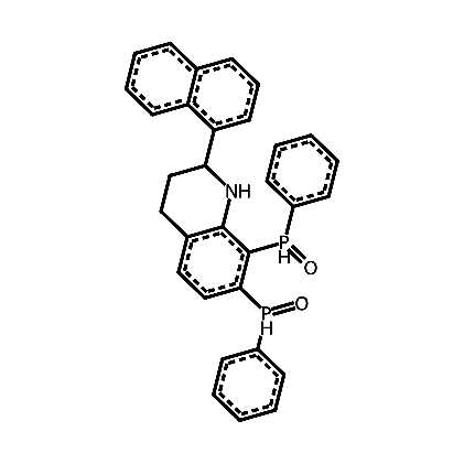 O=[PH](c1ccccc1)c1ccc2c(c1[PH](=O)c1ccccc1)NC(c1cccc3ccccc13)CC2